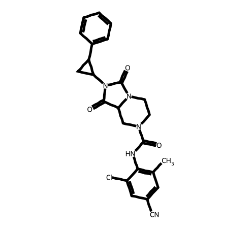 Cc1cc(C#N)cc(Cl)c1NC(=O)N1CCN2C(=O)N(C3CC3c3ccccc3)C(=O)C2C1